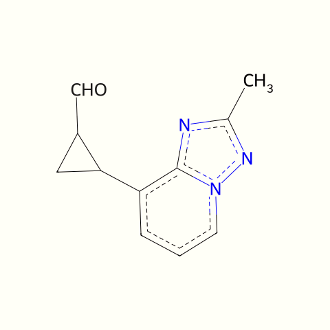 Cc1nc2c(C3CC3C=O)cccn2n1